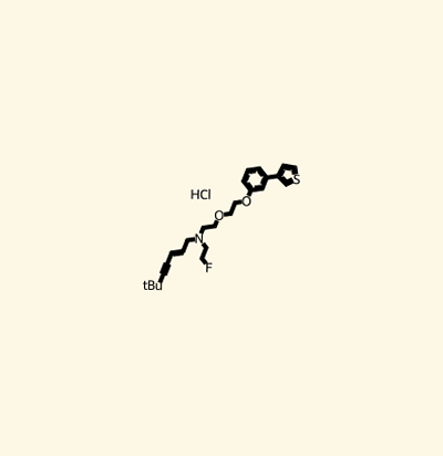 CC(C)(C)C#C/C=C/CN(CCF)CCOCCOc1cccc(-c2ccsc2)c1.Cl